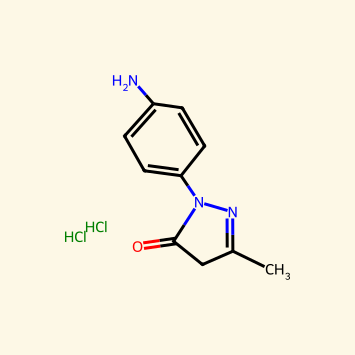 CC1=NN(c2ccc(N)cc2)C(=O)C1.Cl.Cl